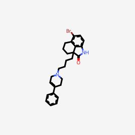 O=C1Nc2ccc(Br)c3c2C1(CCCCN1CC=C(c2ccccc2)CC1)CCC3